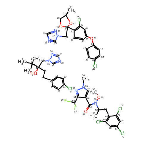 CC(C)(C)C(O)(CCc1ccc(Cl)cc1)Cn1cncn1.CC1COC(Cn2cncn2)(c2ccc(Oc3ccc(Cl)cc3)cc2Cl)O1.CON(C(=O)c1cn(C)nc1C(F)F)C(C)Cc1c(Cl)cc(Cl)cc1Cl